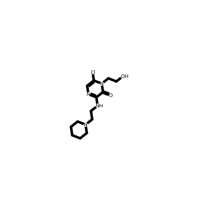 O=c1c(NCCN2CCCCC2)ncc(Cl)n1CCO